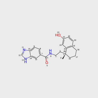 C[C@]1(CCNC(=O)c2ccc3nc[nH]c3c2)CCCc2ccc(O)cc21